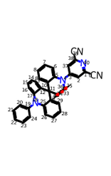 N#Cc1cc(N2c3ccccc3C3(c4ccccc4N(c4ccccc4)c4ccccc43)c3ccccc32)cc(C#N)n1